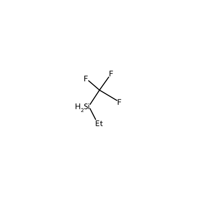 CC[SiH2]C(F)(F)F